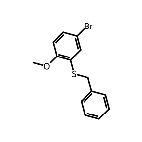 COc1ccc(Br)cc1SCc1ccccc1